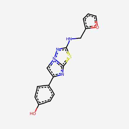 Oc1ccc(-c2cn3nc(NCc4ccco4)sc3n2)cc1